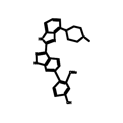 COc1cc(O)ccc1-c1ccc2c(-c3nc4c(N5CCN(C)CC5)cccc4[nH]3)n[nH]c2c1